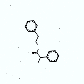 CC(C(=S)SCCc1ccccc1)c1ccccc1